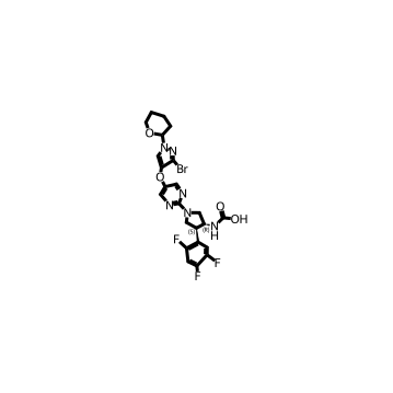 O=C(O)N[C@H]1CN(c2ncc(Oc3cn(C4CCCCO4)nc3Br)cn2)C[C@@H]1c1cc(F)c(F)cc1F